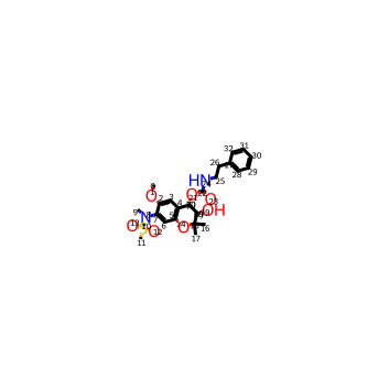 COc1cc2c(cc1N(C)S(C)(=O)=O)OC(C)(C)[C@H](O)[C@H]2OC(=O)NCCc1ccccc1